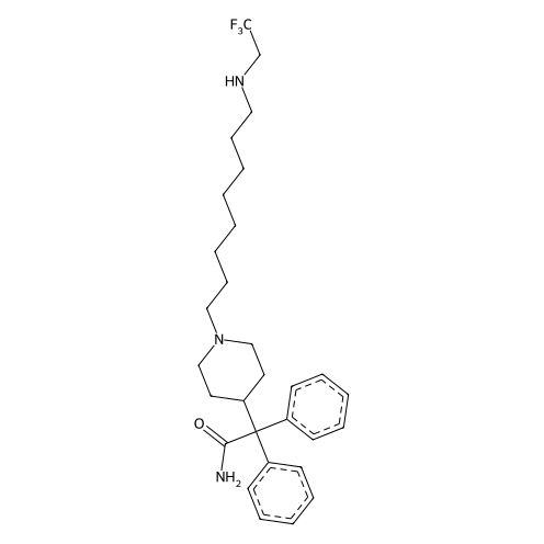 NC(=O)C(c1ccccc1)(c1ccccc1)C1CCN(CCCCCCCCNCC(F)(F)F)CC1